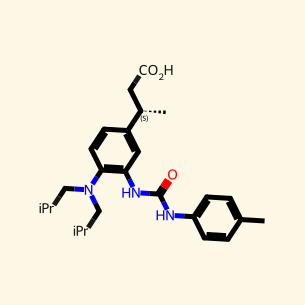 Cc1ccc(NC(=O)Nc2cc([C@@H](C)CC(=O)O)ccc2N(CC(C)C)CC(C)C)cc1